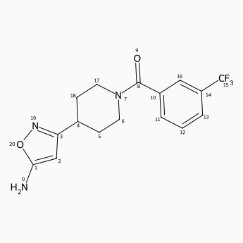 Nc1cc(C2CCN(C(=O)c3cccc(C(F)(F)F)c3)CC2)no1